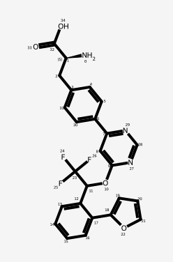 N[C@@H](Cc1ccc(-c2cc(OC(c3ccccc3-c3ccco3)C(F)(F)F)ncn2)cc1)C(=O)O